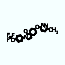 Cc1ccc(O[C@H]2CC[C@]3(CCN(c4ccc(OC(F)(F)F)cc4)C3=O)CC2)nn1